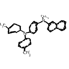 CC1=CCC(N(c2ccc(C)cc2)c2ccc(N(C)c3ccc4ccccc4c3)cc2)C=C1